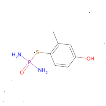 Cc1cc(O)ccc1SP(N)(N)=O